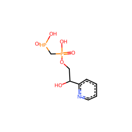 O=[PH](O)CP(=O)(O)OCC(O)c1ccccn1